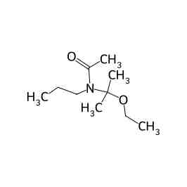 CCCN(C(C)=O)C(C)(C)OCC